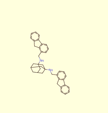 c1ccc2c(c1)Cc1c(CNC34CC5CC(C3)CC(NCc3cccc6c3Cc3ccccc3-6)(C5)C4)cccc1-2